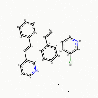 C(=C\c1cccnc1)/c1ccccc1.C=Cc1ccccc1.Clc1cccnc1